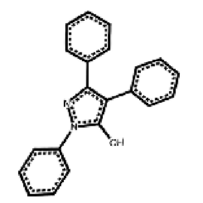 Oc1c(-c2ccccc2)c(-c2ccccc2)nn1-c1ccccc1